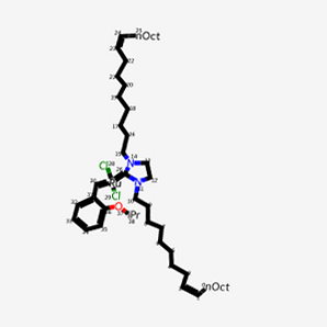 CCCCCCCC/C=C\CCCCCCCCN1CCN(CCCCCCCC/C=C\CCCCCCCC)[C]1=[Ru]([Cl])([Cl])=[CH]c1ccccc1OC(C)C